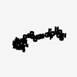 CC(C)(C1CCN(c2c(F)cc(N[C@@H]3CCC(=O)NC3=O)cc2F)CC1)N1CCN(C(=O)COC(=O)N2CC(Oc3cnc(-c4c(-c5nn(C(C)(C)C)c6ncnc(N)c56)noc4C4CC4)nc3)C2)CC1